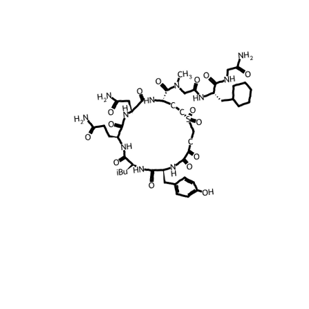 CC[C@H](C)[C@@H]1NC(=O)[C@H](Cc2ccc(O)cc2)NC(=O)C(=O)CCS(=O)(=O)CC[C@@H](C(=O)N(C)CC(=O)N[C@@H](CC2CCCCC2)C(=O)NCC(N)=O)NC(=O)[C@H](CC(N)=O)NC(=O)[C@H](CCC(N)=O)NC1=O